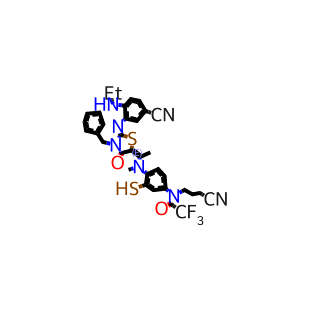 CCNc1ccc(C#N)cc1N=C1S/C(=C(\C)N(C)c2ccc(N(CCCC#N)C(=O)C(F)(F)F)cc2S)C(=O)N1Cc1ccccc1